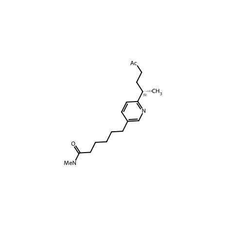 CNC(=O)CCCCCc1ccc([C@@H](C)CCC(C)=O)nc1